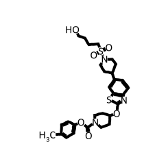 Cc1ccc(OC(=O)N2CCC(Oc3nc4ccc(C5CCN(S(=O)(=O)CCCCO)CC5)cc4s3)CC2)cc1